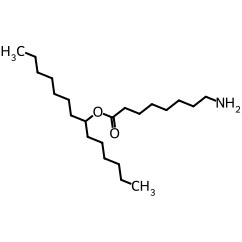 CCCCCCCC(CCCCCC)OC(=O)CCCCCCCN